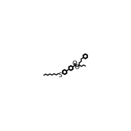 CCCCCCCCSc1ccc(-c2ccc(C(=O)OC(CCC)CCCc3ccccc3)cc2)cc1